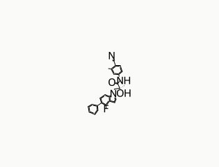 Cc1cc(NC(=O)[C@@](C)(O)Cn2ccc3c(F)c(-c4ccccc4)ccc32)ccc1C#N